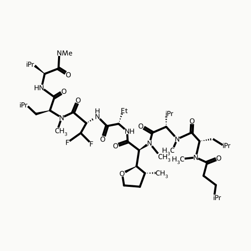 CC[C@H](NC(=O)[C@H]([C@@H]1OCC[C@H]1C)N(C)C(=O)[C@H](C(C)C)N(C)C(=O)[C@H](CC(C)C)N(C)C(=O)CCC(C)C)C(=O)N[C@@H](C(=O)N(C)[C@@H](CC(C)C)C(=O)N[C@H](C(=O)NC)C(C)C)C(F)F